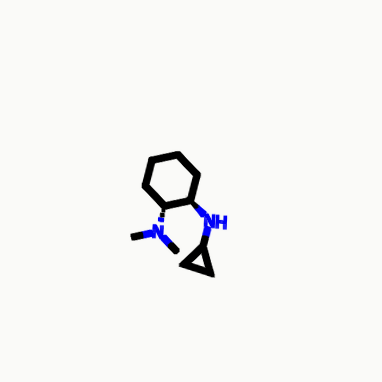 CN(C)[C@@H]1CCCC[C@H]1NC1CC1